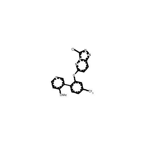 COc1ccncc1-c1ccc(C(F)(F)F)cc1Oc1ccc2nnc(Cl)n2n1